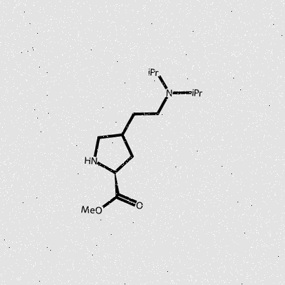 COC(=O)[C@@H]1CC(CCN(C(C)C)C(C)C)CN1